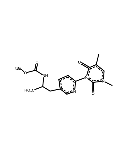 Cc1cn(C)c(=O)n(-c2ccc(CC(NC(=O)OC(C)(C)C)C(=O)O)cn2)c1=O